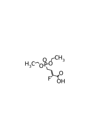 CCOP(=O)(C/C=C(\F)C(=O)O)OCC